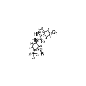 COc1ccc2c(c1)CCNC2C(=O)Nc1ccc(C(C)(C)C)c(C#N)c1